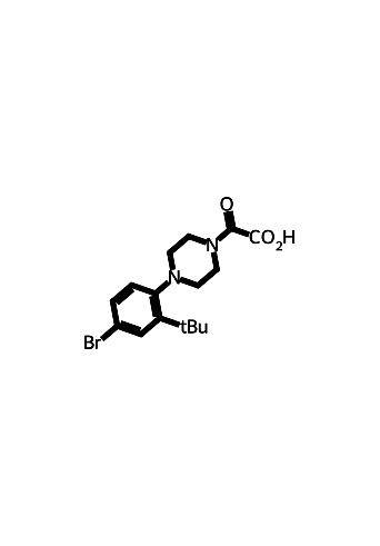 CC(C)(C)c1cc(Br)ccc1N1CCN(C(=O)C(=O)O)CC1